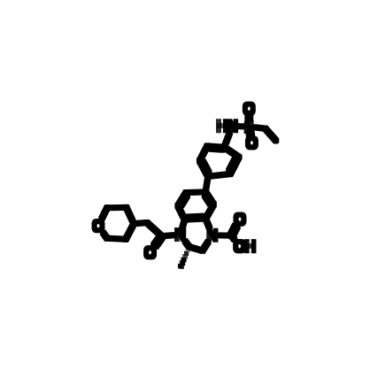 CCS(=O)(=O)Nc1ccc(-c2ccc3c(c2)N(C(=O)O)C[C@H](C)N3C(=O)CC2CCOCC2)cc1